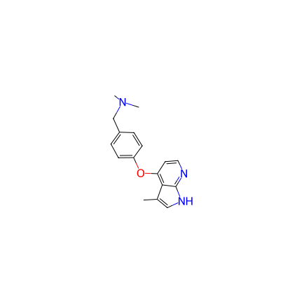 Cc1c[nH]c2nccc(Oc3ccc(CN(C)C)cc3)c12